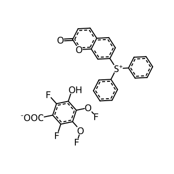 O=C([O-])c1c(F)c(O)c(OF)c(OF)c1F.O=c1ccc2ccc([S+](c3ccccc3)c3ccccc3)cc2o1